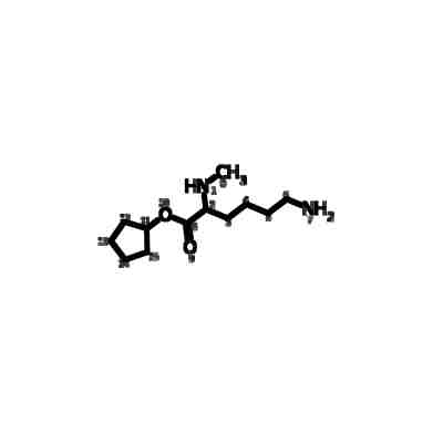 CNC(CCCCN)C(=O)OC1CCCC1